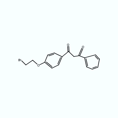 O=C(CC(=O)c1ccc(OCCBr)cc1)c1ccccc1